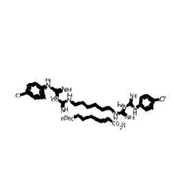 CCCCCCCCCCCCCCCC(=O)O.N=C(NCCCCCCNC(=N)NC(=N)Nc1ccc(Cl)cc1)NC(=N)Nc1ccc(Cl)cc1